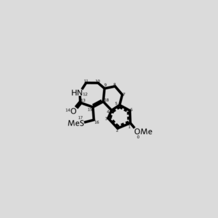 COc1ccc2c(c1)CCC1CCNC(=O)C(CSC)=C21